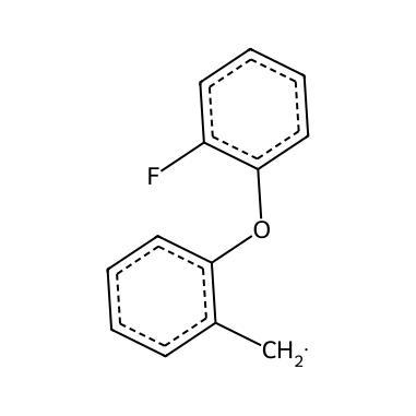 [CH2]c1ccccc1Oc1ccccc1F